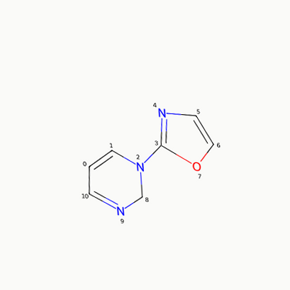 C1=CN(c2ncco2)CN=C1